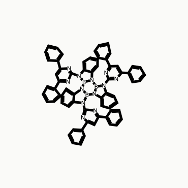 c1ccc(-c2cc(-c3ccccc3)nc(N3B4N(B5N(B6N4c4ccccc4N6c4nc(-c6ccccc6)cc(-c6ccccc6)n4)c4ccccc4N5c4nc(-c5ccccc5)cc(-c5ccccc5)n4)c4ccccc43)n2)cc1